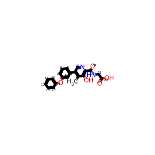 Cc1c(-c2cccc(Oc3ccccc3)c2)cnc(C(=O)NCC(=O)O)c1O